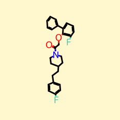 O=C(COc1c(F)cccc1-c1ccccc1)N1CCC(CCc2ccc(F)cc2)CC1